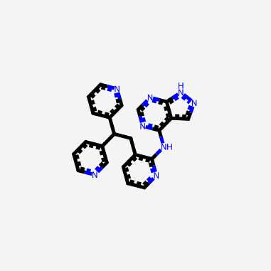 c1cncc(C(Cc2cccnc2Nc2ncnc3[nH]ncc23)c2cccnc2)c1